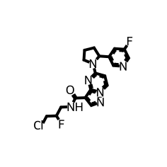 O=C(NCC(F)CCl)c1cnn2ccc(N3CCCC3c3cncc(F)c3)nc12